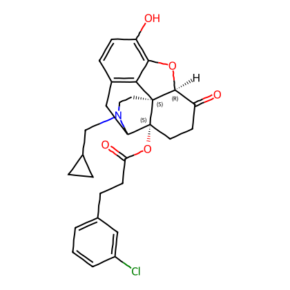 O=C(CCc1cccc(Cl)c1)O[C@@]12CCC(=O)[C@@H]3Oc4c(O)ccc5c4[C@@]31CCN(CC1CC1)C2C5